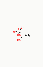 CCC(O)O.O=C1C=CC(=O)O1